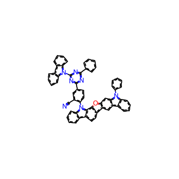 N#Cc1cc(-c2nc(-c3ccccc3)nc(-n3c4ccccc4c4ccccc43)n2)ccc1-n1c2ccccc2c2ccc3c4cc5c6ccccc6n(-c6ccccc6)c5cc4oc3c21